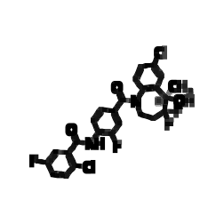 C[C@@]1(O)c2cc(Cl)ccc2N(C(=O)c2ccc(NC(=O)c3cc(F)ccc3Cl)c(F)c2)CCC1(F)F